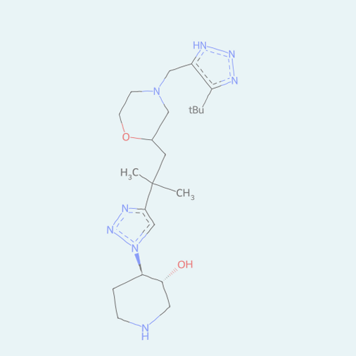 CC(C)(C)c1nn[nH]c1CN1CCOC(CC(C)(C)c2cn([C@@H]3CCNC[C@H]3O)nn2)C1